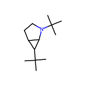 CC(C)(C)C1C2CCN(C(C)(C)C)C21